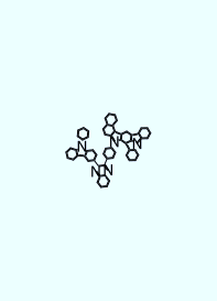 c1ccc(-n2c3ccccc3c3cc(-c4nc5ccccc5nc4-c4ccc(-n5c6ccc7ccccc7c6c6cc7c8ccccc8n8c9ccccc9c(c65)c78)cc4)ccc32)cc1